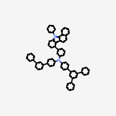 c1ccc(-c2cccc(-c3ccc(N(c4ccc(-c5cc(-c6ccccc6)cc(-c6ccccc6)c5)cc4)c4cccc(-c5cccc6c5c5ccc7ccccc7c5n6-c5ccccc5)c4)cc3)c2)cc1